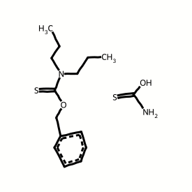 CCCN(CCC)C(=S)OCc1ccccc1.NC(O)=S